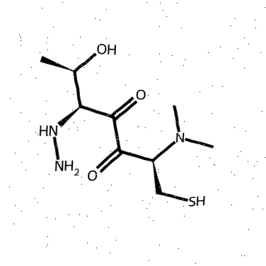 C[C@@H](O)[C@H](NN)C(=O)C(=O)[C@H](CS)N(C)C